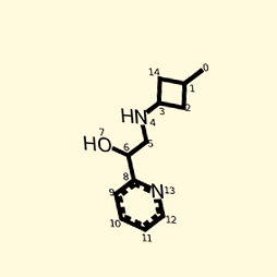 CC1CC(NCC(O)c2ccccn2)C1